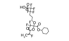 C=C(F)C(=O)OC(OCCCC(F)(F)C(F)(F)S(=O)(=O)O)(C(=O)OC1CCCCC1)C(F)(F)F